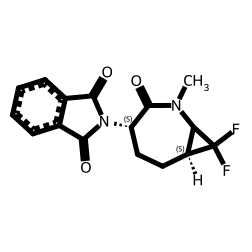 CN1C(=O)[C@@H](N2C(=O)c3ccccc3C2=O)CC[C@H]2C1C2(F)F